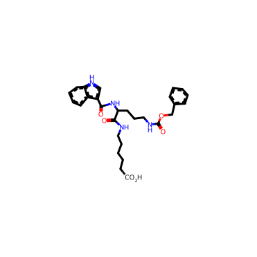 O=C(O)CCCCCNC(=O)C(CCCNC(=O)OCc1ccccc1)NC(=O)c1c[nH]c2ccccc12